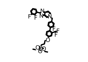 CCOP(=O)(CCCOc1ccc(-c2ccc(Cn3ccc4nc(-c5cccc(F)c5F)nc-4c3)cc2)c(C(F)(F)F)c1)OCC